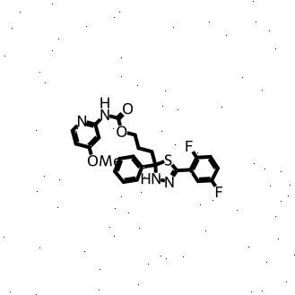 COc1ccnc(NC(=O)OCCCC2(c3ccccc3)NN=C(c3cc(F)ccc3F)S2)c1